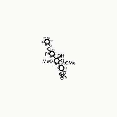 COCOc1c(-c2ccc(OS(C)(=O)=O)cc2)cc(OC)c(-c2ccc(OCc3ccccc3)c(F)c2)c1O